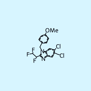 COc1ccc(Cn2c(C(F)C(F)F)nc3cc(Cl)c(Cl)cc32)cc1